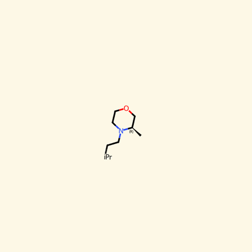 CC(C)CCN1CCOC[C@H]1C